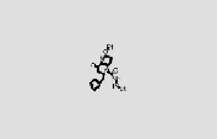 CCNCNC(=O)N1c2ccc(OCC)nc2C(=O)CC1Cc1ccccc1